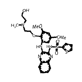 COc1cc(Nc2nc3ccccc3nc2NS(=O)(=O)c2cccs2)c(OCCN(C)CCO)c(OC)c1